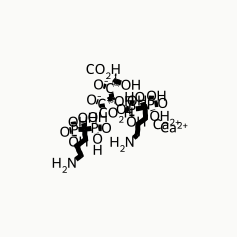 NCCCC(O)(P(=O)(O)O)P(=O)(O)O.NCCCC(O)(P(=O)(O)O)P(=O)(O)O.O=C(O)[C-]([O-])[C@@H](O)[C-]([O-])[C@@H](O)C(=O)O.[Ca+2].[Ca+2]